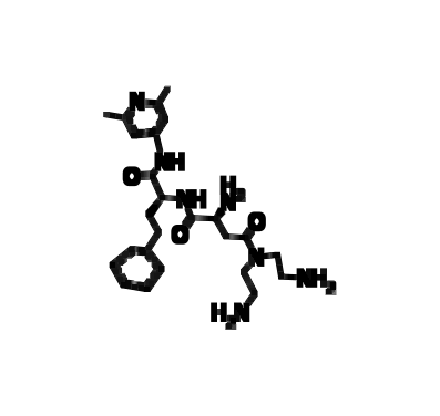 Cc1cc(NC(=O)[C@H](CCc2ccccc2)NC(=O)[C@@H](N)CC(=O)N(CCN)CCN)cc(C)n1